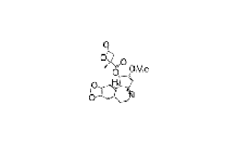 COC1=C[C@]23CCCN2CCc2cc4c(cc2[C@@H]3[C@@H]1OC(=O)[C@@]1(C)CC(=O)O1)OCO4